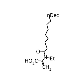 C=C(C(=O)O)N(CC)C(=O)CCCCCCCCCCCCCCCCC